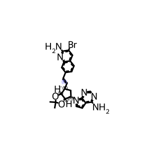 CC1(C)O[C@H]2[C@H](n3ccc4c(N)ncnc43)C[C@](C)(/C=C/c3ccc4cc(Br)c(N)nc4c3)[C@H]2O1